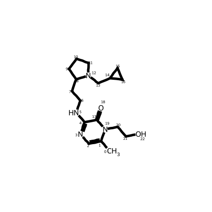 Cc1cnc(NCCC2CCCN2CC2CC2)c(=O)n1CCO